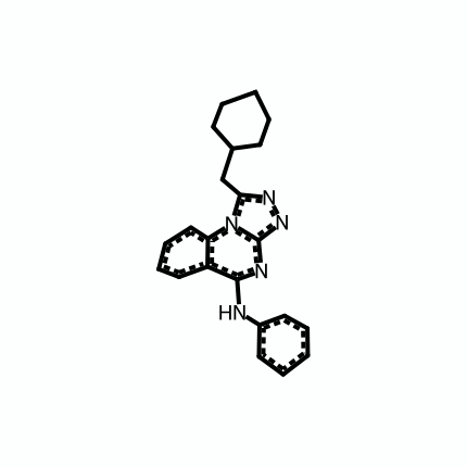 c1ccc(Nc2nc3nnc(CC4CCCCC4)n3c3ccccc23)cc1